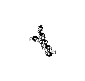 CC(C)(C)[Si](C)(C)OC1CN(C[C@H](Oc2ncnc3c2cnn3-c2ncccc2Cl)C(=O)Nc2ccc(F)cn2)C1